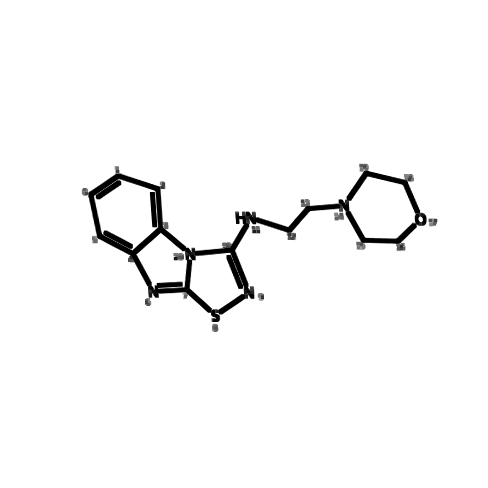 c1ccc2c(c1)nc1snc(NCCN3CCOCC3)n12